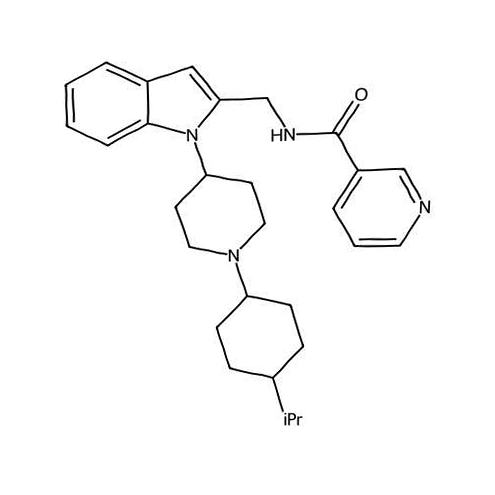 CC(C)C1CCC(N2CCC(n3c(CNC(=O)c4cccnc4)cc4ccccc43)CC2)CC1